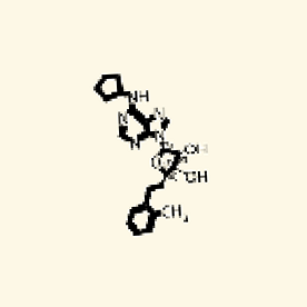 Cc1ccccc1CC[C@H]1O[C@@H](n2cnc3c(NC4CCCC4)ncnc32)[C@H](O)[C@@H]1O